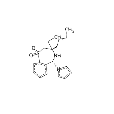 CCCC[C@]1(CC)CS(=O)(=O)c2ccccc2[C@@H](n2cccc2)N1